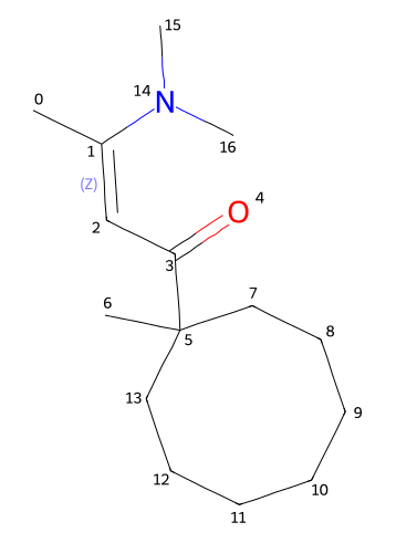 C/C(=C/C(=O)C1(C)CCCCCCC1)N(C)C